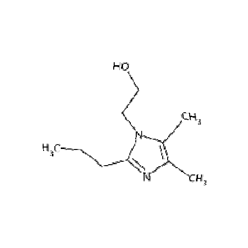 CCCc1nc(C)c(C)n1CCO